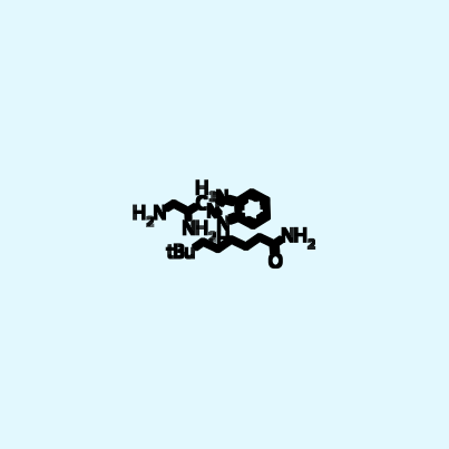 CC(C)(C)CCCCCC(N)=O.CC(N)CN.c1ccc2[nH]nnc2c1